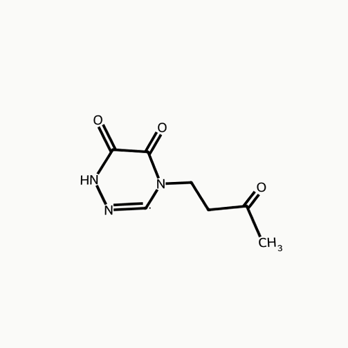 CC(=O)CCn1[c]n[nH]c(=O)c1=O